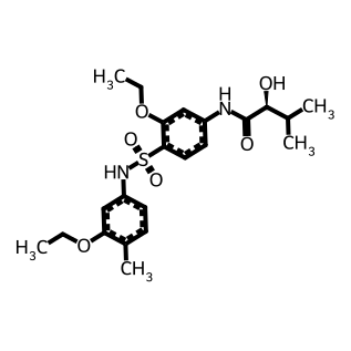 CCOc1cc(NS(=O)(=O)c2ccc(NC(=O)[C@@H](O)C(C)C)cc2OCC)ccc1C